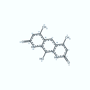 Cc1cc(=O)[nH]c2c(O)c3[nH]c(=O)cc(C)c3cc12